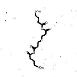 CCCCCCCCCCCCCC(=O)OC(=O)CCSCCC(=O)OC(=O)CCCCCCCCCCCCC